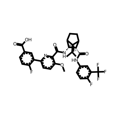 COc1ccc(-c2cc(C(=O)O)ccc2F)nc1C(=O)N[C@@H]1C2CCC(C2=C(C)C)[C@@H]1C(=O)Nc1ccc(F)c(C(F)(F)F)c1